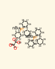 CCCC[P+](c1ccccc1)(c1ccccc1)c1ccccc1.CCCC[P+](c1ccccc1)(c1ccccc1)c1ccccc1.O=C([O-])C(=O)[O-]